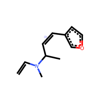 C=CN(C)C(C)/C=C\c1ccoc1